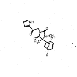 CN1C(=O)N(CC(=O)c2ccc[nH]2)C(=O)C1(C)C1C[C@H]2C=C[C@@H]1CC2